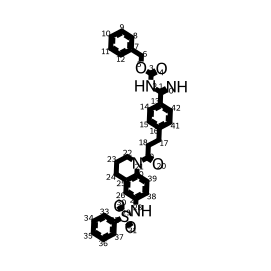 N=C(NC(=O)OCc1ccccc1)c1ccc(CCC(=O)N2CCCc3cc(NS(=O)(=O)c4ccccc4)ccc32)cc1